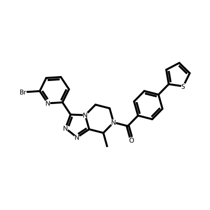 CC1c2nnc(-c3cccc(Br)n3)n2CCN1C(=O)c1ccc(-c2cccs2)cc1